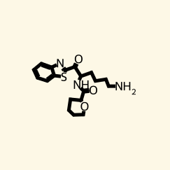 NCCCCC(NC(=O)C1CCCCO1)C(=O)c1nc2ccccc2s1